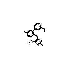 CCc1cc(-c2cc(C)ccc2Cc2sc(C)nc2N)ccn1